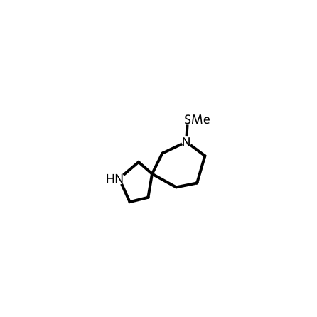 CSN1CCCC2(CCNC2)C1